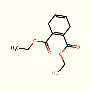 CCOC(=O)C1=C(C(=O)OCC)CC=CC1